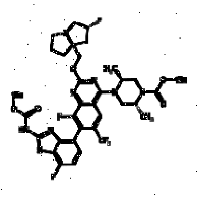 C[C@@H]1CN(c2nc(OC[C@@]34CCCN3C[C@H](F)C4)nc3c(F)c(-c4ccc(F)c5sc(NC(=O)OC(C)(C)C)nc45)c(C(F)(F)F)cc23)[C@@H](C)CN1C(=O)OC(C)(C)C